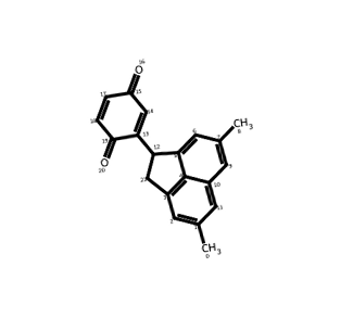 Cc1cc2c3c(cc(C)cc3c1)C(C1=CC(=O)C=CC1=O)C2